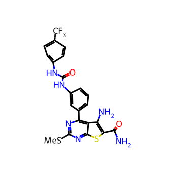 CSc1nc(-c2cccc(NC(=O)Nc3ccc(C(F)(F)F)cc3)c2)c2c(N)c(C(N)=O)sc2n1